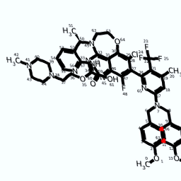 COc1ccc(CN(Cc2ccc(OC)cc2)c2cc(C)c(C(F)(F)F)c(-c3c(Cl)c4c5c(nc(OCCN6CCN(C)CC6)nc5c3F)N([C@H](C)c3cccnc3NC(=O)O)CCO4)n2)cc1